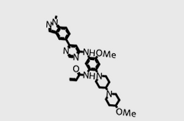 C=CC(=O)Nc1cc(Nc2cc(-c3ccc4c(cnn4C)c3)ncn2)c(OC)cc1N1CCC(N2CCC(OC)CC2)CC1